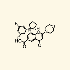 O=C(O)c1cc([C@]2(c3cc(F)cc(F)c3)CCCN2)c2oc(N3CCOCC3)cc(=O)c2c1